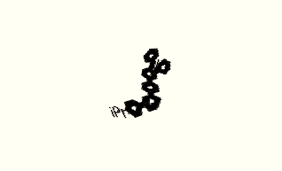 CC(C)c1ccc(-c2cccc(-c3ccc(-c4ccc5c(c4)c4ccccc4n5-c4ccccc4)cc3)c2)cc1